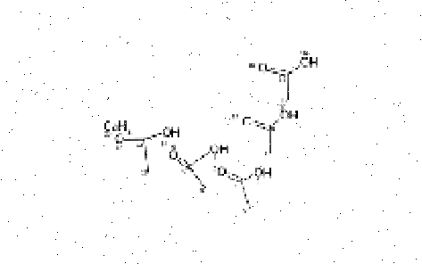 CC(=O)O.CC(=O)O.CC(=O)O.CC(=O)O.CC(=O)O.[CaH2]